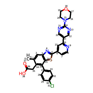 Cc1cc2nc(-c3ccnc(-c4cnc(N5CCOCC5)nc4)c3)sc2c(-c2ccc(Cl)cc2)c1CC(=O)O